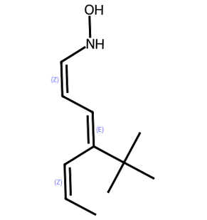 C\C=C/C(=C\C=C/NO)C(C)(C)C